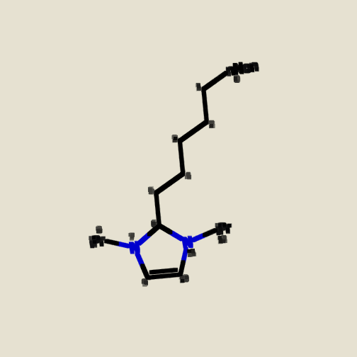 CCCCCCCCCCCCCCC1N(C(C)C)C=CN1C(C)C